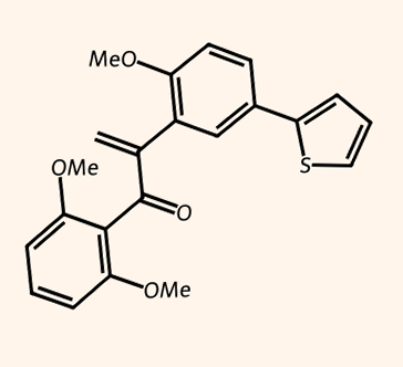 C=C(C(=O)c1c(OC)cccc1OC)c1cc(-c2cccs2)ccc1OC